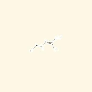 CC(=NNCC(C)C)C(=O)O